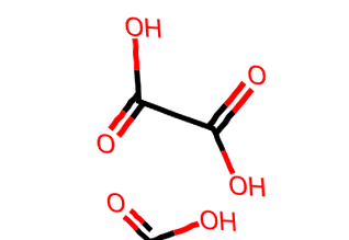 O=C(O)C(=O)O.O=CO